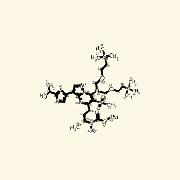 CC(O)c1ncc(-c2cnn3c(N(COCC[Si](C)(C)C)COCC[Si](C)(C)C)c(S(C)(=O)=O)c(CC[C@@H](C)N(C(=O)OC(C)(C)C)C(C)C)nc23)s1